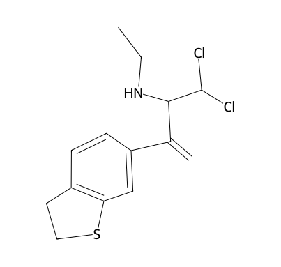 C=C(c1ccc2c(c1)SCC2)C(NCC)C(Cl)Cl